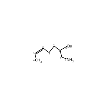 C/C=C\CCC(CN)C(C)CC